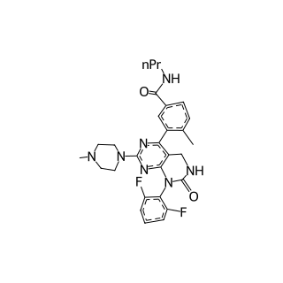 CCCNC(=O)c1ccc(C)c(-c2nc(N3CCN(C)CC3)nc3c2CNC(=O)N3c2c(F)cccc2F)c1